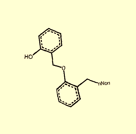 CCCCCCCCCCc1ccccc1OCc1ccccc1O